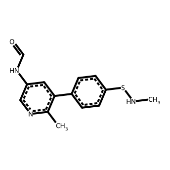 CNSc1ccc(-c2cc(NC=O)cnc2C)cc1